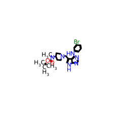 CN(C(=O)OC(C)(C)C)C1CCN(Cc2c[nH]c3ncnc(Nc4cccc(Br)c4)c23)CC1